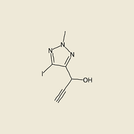 C#CC(O)c1nn(C)nc1I